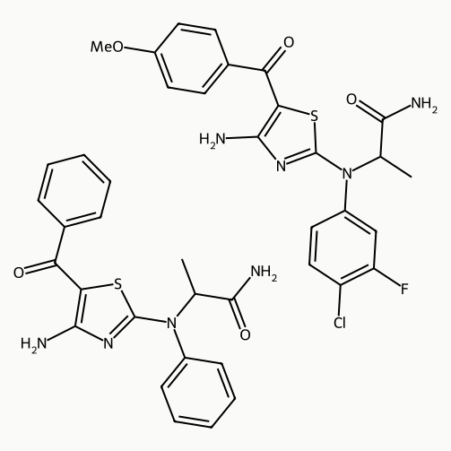 CC(C(N)=O)N(c1ccccc1)c1nc(N)c(C(=O)c2ccccc2)s1.COc1ccc(C(=O)c2sc(N(c3ccc(Cl)c(F)c3)C(C)C(N)=O)nc2N)cc1